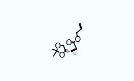 C=CCOC(=O)/C=C\[C@H]1COC(C)(C)O1